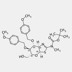 COc1ccc(CO[C@@H]2[C@H]3N=C(N(C)C(=O)OC(C)(C)C)S[C@H]3O[C@H](CO)[C@H]2OCc2ccc(OC)cc2)cc1